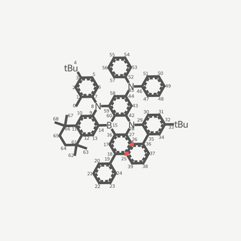 Cc1cc(C(C)(C)C)ccc1N1c2cc3c(cc2B2c4cc(-c5ccccc5)ccc4N(c4ccc(C(C)(C)C)cc4-c4ccccc4)c4cc(N(c5ccccc5)c5ccccc5)cc1c42)C(C)(C)CCC3(C)C